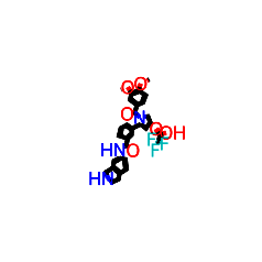 COc1ccc(C(=O)N2CCCC2c2cccc(C(=O)Nc3ccc4c(c3)CNCC4)c2)cc1OC.O=C(O)C(F)(F)F